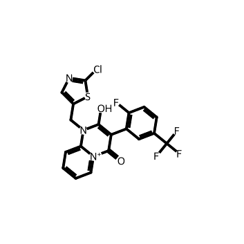 O=c1c(-c2cc(C(F)(F)F)ccc2F)c(O)n(Cc2cnc(Cl)s2)c2cccc[n+]12